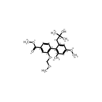 COCOc1cc(C(=O)OC)ccc1-c1c(C)cc(OC)cc1CC(C)(C)O